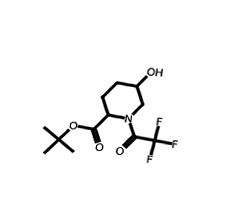 CC(C)(C)OC(=O)C1CCC(O)CN1C(=O)C(F)(F)F